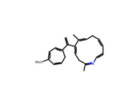 C=C(C1=CC=C(OC)C=CC1)C1=C/C\C(C)=N/C=C/C=C\C\C=C\1C